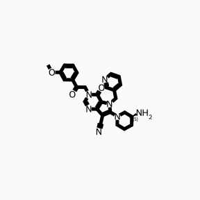 COc1cccc(C(=O)Cn2cnc3c(C#N)c(N4CCC[C@H](N)C4)n(Cc4cccnc4)c3c2=O)c1